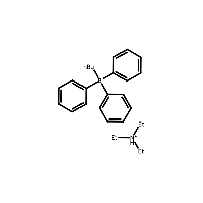 CCCC[B-](c1ccccc1)(c1ccccc1)c1ccccc1.CC[NH+](CC)CC